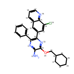 Nc1nc(-c2ccccc2)c(-c2cc(Cl)c3ncccc3c2)nc1OCC1CCCCC1